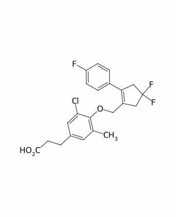 Cc1cc(CCC(=O)O)cc(Cl)c1OCC1=C(c2ccc(F)cc2)CC(F)(F)C1